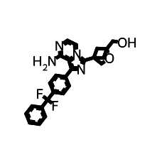 Nc1nccn2c(C34COC(CO)(C3)C4)nc(-c3ccc(C(F)(F)c4ccccc4)cc3)c12